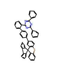 c1ccc(-c2nc(-c3ccccc3)nc(-c3ccccc3-c3ccc(-c4ccc5c(c4)C4(c6ccccc6S5)c5ccccc5-c5ccccc54)cc3)n2)cc1